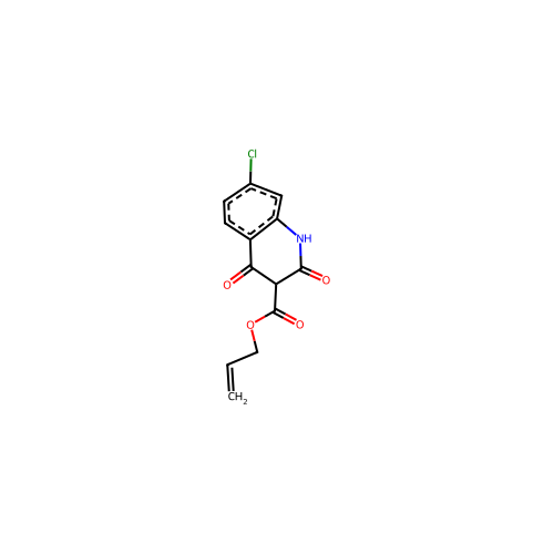 C=CCOC(=O)C1C(=O)Nc2cc(Cl)ccc2C1=O